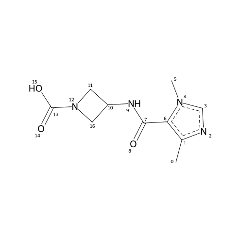 Cc1ncn(C)c1C(=O)NC1CN(C(=O)O)C1